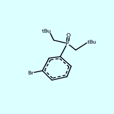 CC(C)(C)CP(=O)(CC(C)(C)C)c1cccc(Br)c1